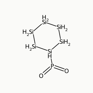 O=P(=O)[SiH]1[SiH2][SiH2][SiH2][SiH2][SiH2]1